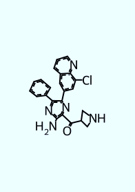 Nc1nc(-c2ccccc2)c(-c2cc(Cl)c3ncccc3c2)nc1C(=O)C1CNC1